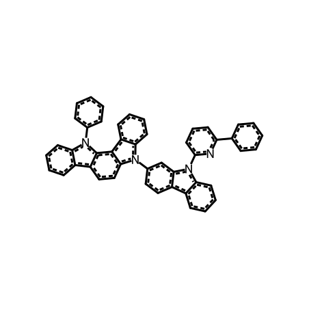 c1ccc(-c2cccc(-n3c4ccccc4c4ccc(-n5c6ccccc6c6c5ccc5c7ccccc7n(-c7ccccc7)c56)cc43)n2)cc1